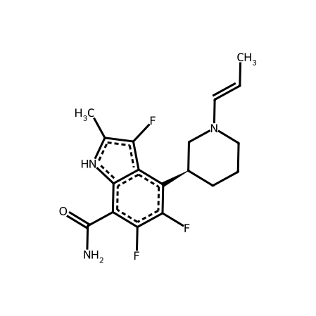 CC=CN1CCC[C@@H](c2c(F)c(F)c(C(N)=O)c3[nH]c(C)c(F)c23)C1